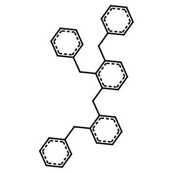 c1ccc(Cc2ccccc2Cc2cccc(Cc3ccccc3)c2Cc2ccccc2)cc1